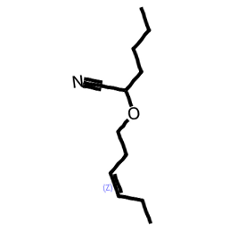 CC/C=C\CCOC(C#N)CCCC